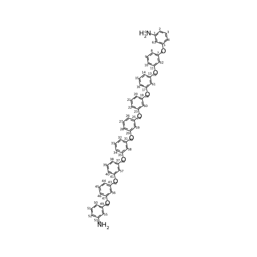 Nc1cccc(Oc2cccc(Oc3cccc(Oc4cccc(Oc5cccc(Oc6cccc(Oc7cccc(Oc8cccc(Oc9cccc(N)c9)c8)c7)c6)c5)c4)c3)c2)c1